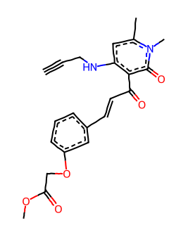 C#CCNc1cc(C)n(C)c(=O)c1C(=O)C=Cc1cccc(OCC(=O)OC)c1